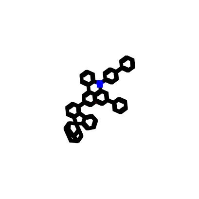 c1ccc(-c2ccc(N(c3cccc(-c4ccccc4)c3)c3ccccc3-c3cccc(-c4cccc5c4-c4ccccc4C54C5CC6CC(C5)CC4C6)c3)cc2)cc1